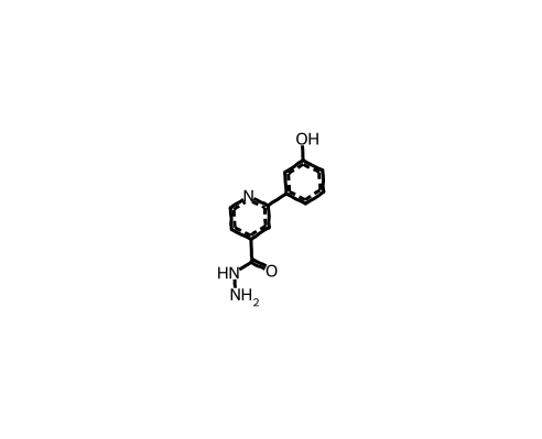 NNC(=O)c1ccnc(-c2cccc(O)c2)c1